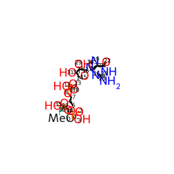 COP(=O)(O)OCC(COP(=O)(O)OC[C@H]1O[C@@H](n2cnc3c(=O)[nH]c(N)nc32)[C@H](O)[C@@H]1O)OP(=O)(O)F